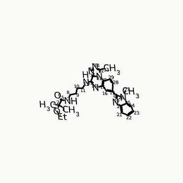 CCOC(C)(C)C(=O)NCCCCNc1nc2cc(-c3nc4ccccc4n3C)ccc2n2c(C)nnc12